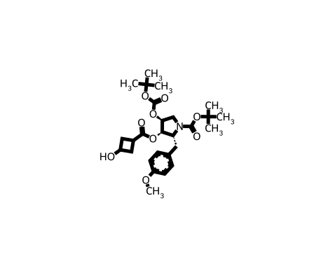 COc1ccc(C[C@@H]2[C@H](OC(=O)C3CC(O)C3)[C@@H](OC(=O)OC(C)(C)C)CN2C(=O)OC(C)(C)C)cc1